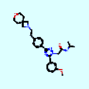 COc1cccc(-c2nc(-c3ccc(CCN4CC5(CCOCC5)C4)cc3)nn2CC(=O)NC(C)C)c1